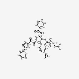 CC(C)CNS(=O)(=O)c1cc2c(c3cnc(C4CC4)cc13)[C@@H](NC(=O)c1cc(-c3ccccc3)no1)C[C@@H]2NC(=O)c1cccnc1